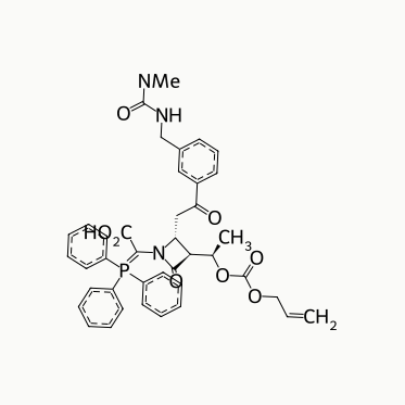 C=CCOC(=O)O[C@H](C)[C@H]1C(=O)N(C(C(=O)O)=P(c2ccccc2)(c2ccccc2)c2ccccc2)[C@@H]1CC(=O)c1cccc(CNC(=O)NC)c1